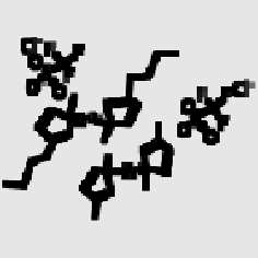 CC1=C[C](C)([Zr+2][C]2(C)C=CC(C)=C2)C=C1.CCCCC1=C[C](C)([Zr+2][C]2(C)C=CC(CCCC)=C2)C=C1.O=S(=O)([O-])C(F)(F)F.O=S(=O)([O-])C(F)(F)F.[Cl-].[Cl-]